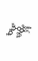 COC(=O)N1C2CCC(C(CN)CNC3CCNCC3)CC2N(C(=O)OC(C)C)C[C@@H]1C